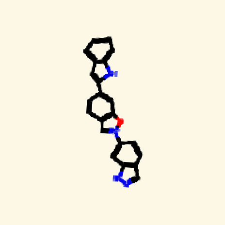 c1ccc2[nH]c(-c3ccc4c[n+](-c5ccc6cn[nH]c6c5)oc4c3)cc2c1